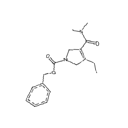 CCC1=C(C(=O)N(C)C)CN(C(=O)OCc2ccccc2)C1